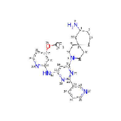 NC1CCCC2(CCN(c3cc(Nc4cc(OC(F)(F)F)ccn4)nc(-c4cccnc4)n3)CC2)C1